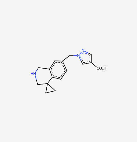 O=C(O)c1cnn(Cc2ccc3c(c2)CNCC32CC2)c1